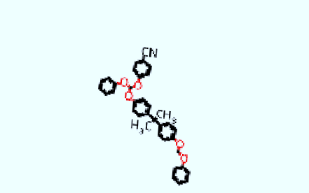 CC(C)(c1ccc(OCOc2ccccc2)cc1)c1ccc(OC(Oc2ccccc2)Oc2ccc(C#N)cc2)cc1